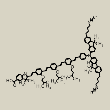 CC(C)CCOc1cc(/C=C/c2ccc(/C=C/c3ccc(/C=C/C4=Nc5ccc(C(=O)O)cc5C4(C)C)cc3OCC(C)C)cc2OCC(C)C)ccc1/C=C/c1ccc(N(c2ccc3c(c2)-c2ccc(CCCCN=[N+]=[N-])cc2C3(C)C)c2ccc3c(c2)C(C)(C)c2cc(CCCCN=[N+]=[N-])ccc2-3)cc1